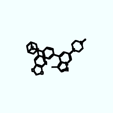 Cc1cnn2cc(N3CCN(C)CC3)cc(-c3ccc(N4CC5CC(C4)N5Cc4cnc5c(c4)OCO5)nc3)c12